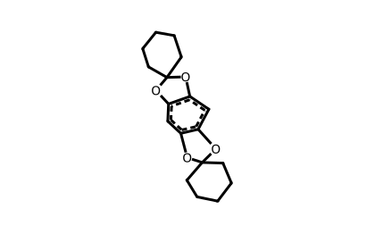 c1c2c(cc3c1OC1(CCCCC1)O3)OC1(CCCCC1)O2